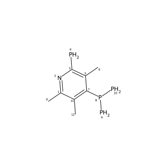 Cc1nc(P)c(C)c(P(P)P)c1C